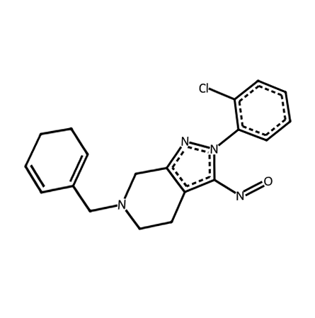 O=Nc1c2c(nn1-c1ccccc1Cl)CN(CC1=CCCC=C1)CC2